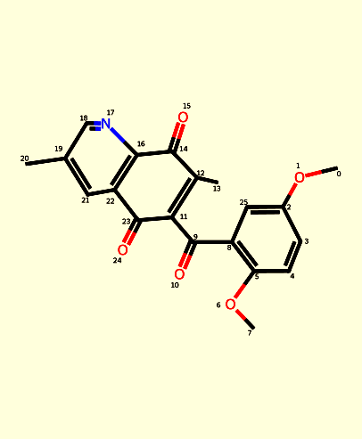 COc1ccc(OC)c(C(=O)C2=C(C)C(=O)c3ncc(C)cc3C2=O)c1